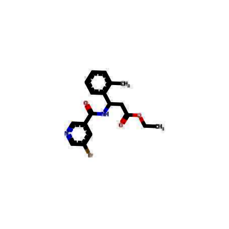 CCOC(=O)CC(NC(=O)c1cncc(Br)c1)c1ccccc1C